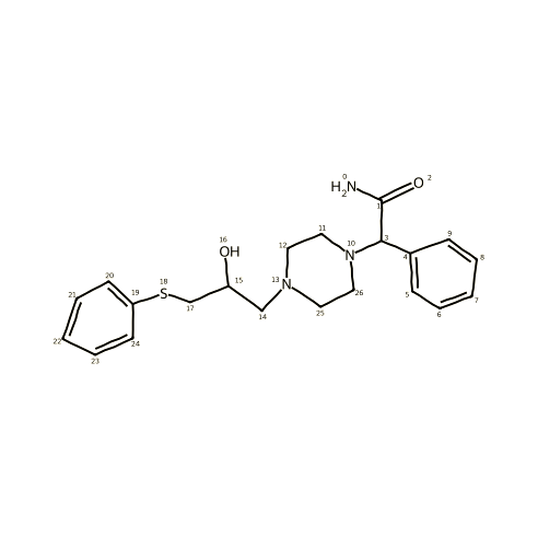 NC(=O)C(c1ccccc1)N1CCN(CC(O)CSc2ccccc2)CC1